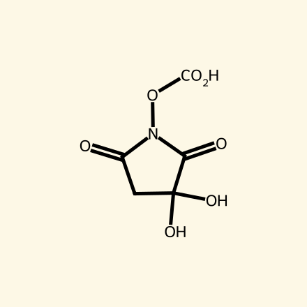 O=C(O)ON1C(=O)CC(O)(O)C1=O